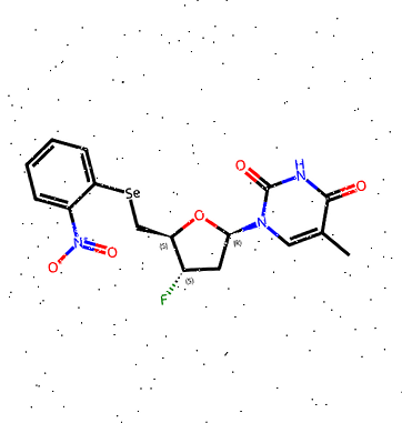 Cc1cn([C@H]2C[C@H](F)[C@@H](C[Se]c3ccccc3[N+](=O)[O-])O2)c(=O)[nH]c1=O